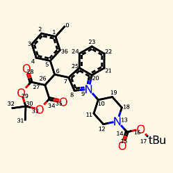 Cc1cccc(C(c2cn(C3CCN(C(=O)OC(C)(C)C)CC3)c3ccccc23)C2C(=O)OC(C)(C)OC2=O)c1